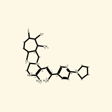 CC1C(Cl)C(F)CCC(Cl)C1CN1CCNC(N)=C1/C=C(\N)c1ccc(N2CCCC2)nc1